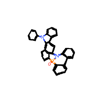 O=P1(c2ccccc2)c2ccccc2-c2ccccc2N1c1ccc2c(c1)c1ccccc1n2-c1ccccc1